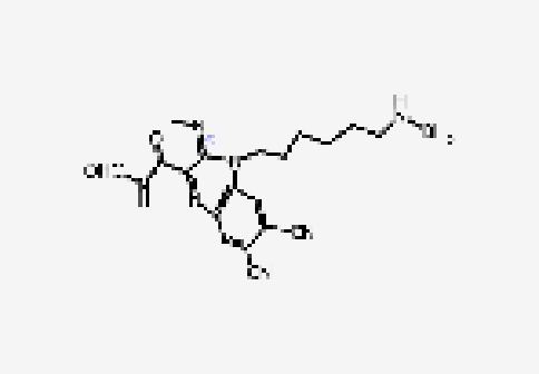 BNCCCCCCn1/c(=N/C)c(C(=O)NC=O)nc2cc(C#N)c(C#N)cc21